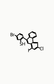 Sc1cc(Br)ccc1-c1cc2c(I)cc(Cl)cc2c2ccccc12